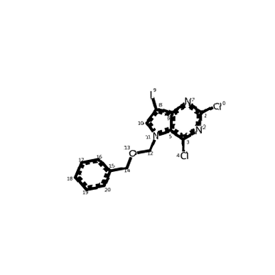 Clc1nc(Cl)c2c(n1)c(I)cn2COCc1ccccc1